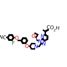 C/C(=C\C(=O)O)c1ccc2nc(CN3CCC(Oc4cccc(COc5ccc(C#N)cc5F)c4)CC3)n(C[C@@H]3CCO3)c2n1